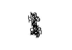 C=CC(=O)NC1CCOCC1Nc1ccc2oc(C(=O)c3c(Cl)c(OC)cc(OC)c3Cl)cc2n1